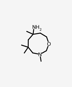 CN1COCCC(C)(N)CC(C)(C)C1